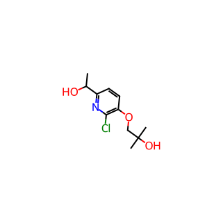 CC(O)c1ccc(OCC(C)(C)O)c(Cl)n1